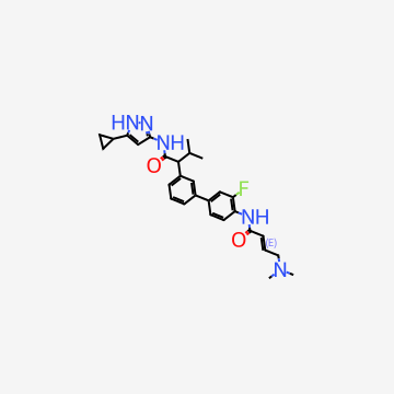 CC(C)C(C(=O)Nc1cc(C2CC2)[nH]n1)c1cccc(-c2ccc(NC(=O)/C=C/CN(C)C)c(F)c2)c1